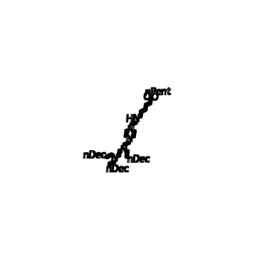 CCCCCCCCCCCCN(CCCCCCCCCCCC)CCN(CCCCCCCCCCCC)CCN1CCN(CCNCCCCCC(=O)OCCCCC)CC1